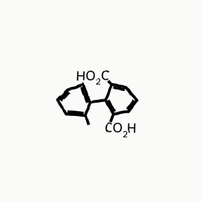 Cc1ccccc1-c1c(C(=O)O)cccc1C(=O)O